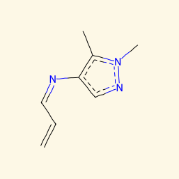 C=C/C=N\c1cnn(C)c1C